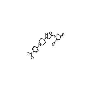 N#C[C@@H]1C[C@H](F)CN1C(=O)CNC1CCN(c2ccc([N+](=O)[O-])cc2)CC1